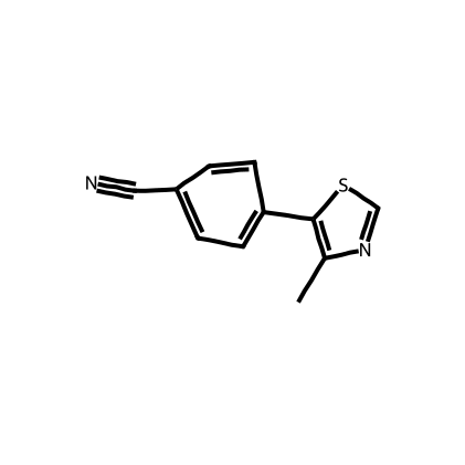 Cc1ncsc1-c1ccc(C#N)cc1